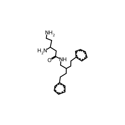 NCCC(N)CC(=O)NCC(CCc1ccccc1)CCc1ccccc1